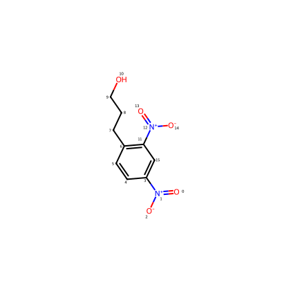 O=[N+]([O-])c1ccc(CCCO)c([N+](=O)[O-])c1